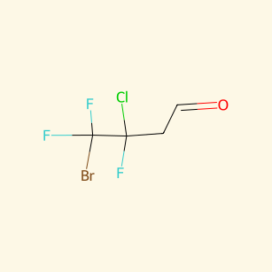 O=CCC(F)(Cl)C(F)(F)Br